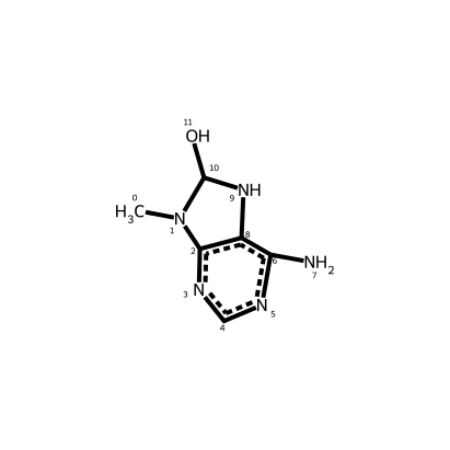 CN1c2ncnc(N)c2NC1O